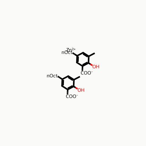 CCCCCCCCc1cc(C)c(O)c(C(=O)[O-])c1.CCCCCCCCc1cc(C)c(O)c(C(=O)[O-])c1.[Zn+2]